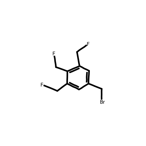 FCc1cc(CBr)cc(CF)c1CF